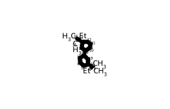 CCC(C)(C)c1cc[c]c(-c2[c]ccc(C(C)(C)CC)c2)c1